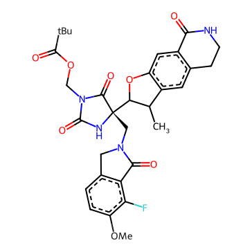 COc1ccc2c(c1F)C(=O)N(C[C@@]1(C3Oc4cc5c(cc4C3C)CCNC5=O)NC(=O)N(COC(=O)C(C)(C)C)C1=O)C2